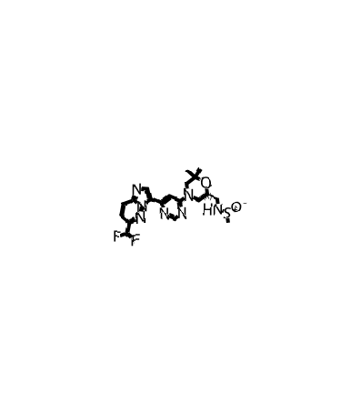 C[S+]([O-])NC[C@H]1CN(c2cc(-c3cnc4ccc(C(F)F)nn34)ncn2)CC(C)(C)O1